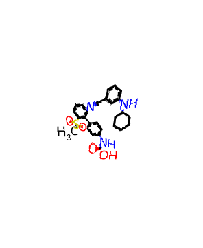 CS(=O)(=O)c1ccccc1-c1ccc(NC(=O)O)cc1.N#Cc1cccc(NC2CCCCC2)c1